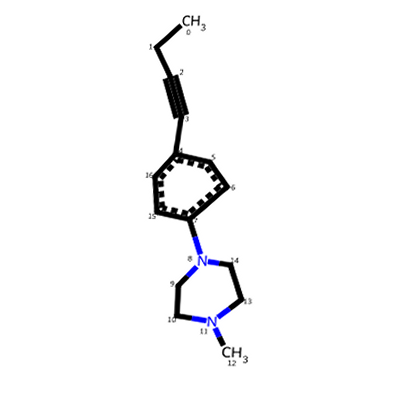 CCC#Cc1ccc(N2CCN(C)CC2)cc1